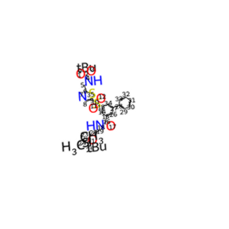 CC(C)(C)OC(=O)NCc1ncc(S(=O)(=O)c2cc(C(=O)NCCO[Si](C)(C)C(C)(C)C)cc(-c3ccccc3)c2)s1